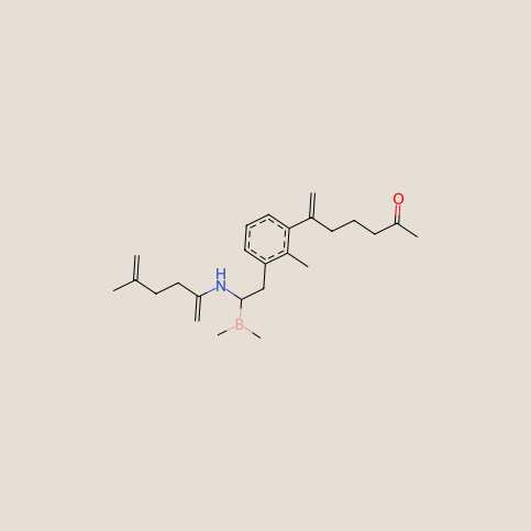 C=C(C)CCC(=C)NC(Cc1cccc(C(=C)CCCC(C)=O)c1C)B(C)C